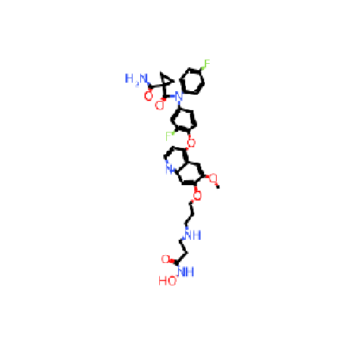 COc1cc2c(Oc3ccc(N(C(=O)C4(C(N)=O)CC4)c4ccc(F)cc4)cc3F)ccnc2cc1OCCCNCCC(=O)NO